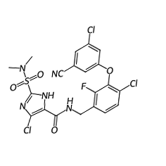 CN(C)S(=O)(=O)c1nc(Cl)c(C(=O)NCc2ccc(Cl)c(Oc3cc(Cl)cc(C#N)c3)c2F)[nH]1